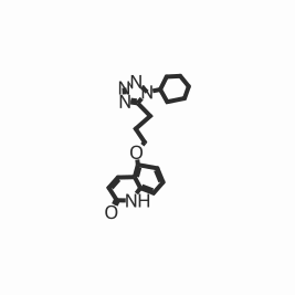 O=c1ccc2c(OCCCc3nnnn3C3CCCCC3)cccc2[nH]1